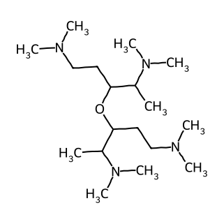 CC(C(CCN(C)C)OC(CCN(C)C)C(C)N(C)C)N(C)C